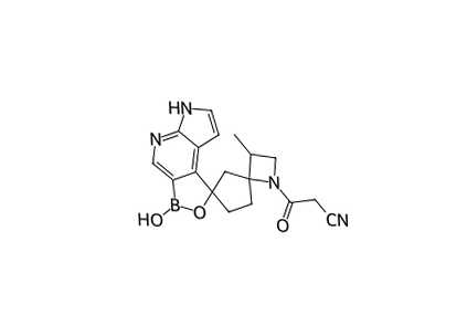 CC1CN(C(=O)CC#N)C12CCC1(C2)OB(O)c2cnc3[nH]ccc3c21